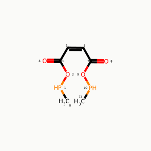 CPOC(=O)/C=C\C(=O)OPC